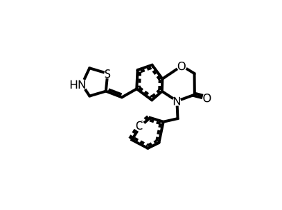 O=C1COc2ccc(C=C3CNCS3)cc2N1Cc1ccccc1